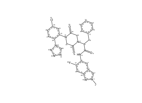 Cn1cc2cc(NC(=O)C(Cc3ccccc3)N3CC(=O)N(c4cc(Cl)ccc4-n4cnnn4)CC3=O)c(F)cc2n1